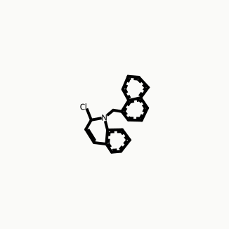 ClC1C=Cc2ccccc2N1Cc1cccc2ccccc12